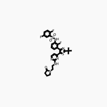 CC(C)(C)c1nc(-c2cccc(NS(=O)(=O)c3cc(F)ccc3F)c2F)c(-c2ccnc(NCCN3CCCC3=O)n2)s1